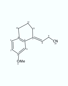 COc1ccc2c(c1)/C(=C/CC#N)CCC2